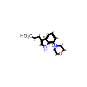 O=C(O)CCc1c[nH]c2c(N3CCOCC3)cccc12